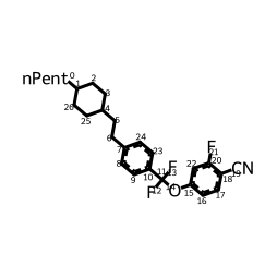 CCCCCC1CCC(CCc2ccc(C(F)(F)Oc3ccc(C#N)c(F)c3)cc2)CC1